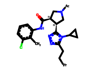 CC(=O)N1C[C@H](C(=O)Nc2cccc(Cl)c2C)[C@@H](c2nnc(CCC(C)C)n2C2CC2)C1